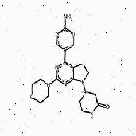 Nc1ncc(-c2nc(N3CCOCC3)nc3c2CCN3[C@@H]2CCNC(=O)C2)cn1